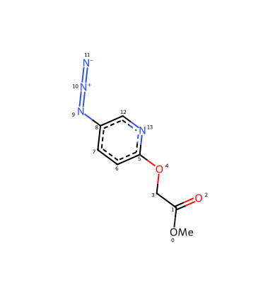 COC(=O)COc1ccc(N=[N+]=[N-])cn1